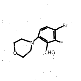 O=Cc1c(N2CCOCC2)ccc(Br)c1F